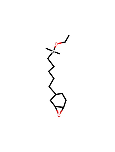 CCO[Si](C)(C)CCCCCC1CCC2OC2C1